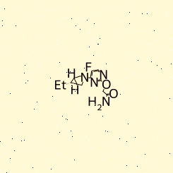 CC[C@@H]1[C@H]2CN(c3nc(OCC(N)=O)ncc3F)C[C@@H]12